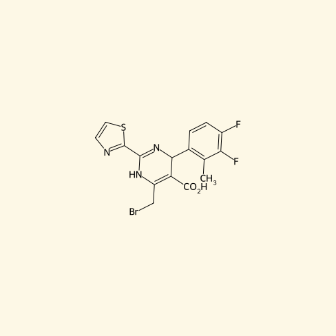 Cc1c(C2N=C(c3nccs3)NC(CBr)=C2C(=O)O)ccc(F)c1F